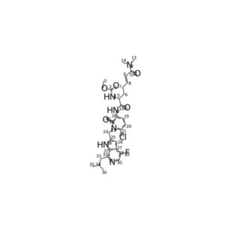 COC(=O)NC(CC/C=C/C(=O)N(C)C)C(=O)Nc1ccc(Cl)n(Cc2cc3c(F)cnc(CC(C)C)c3[nH]2)c1=O